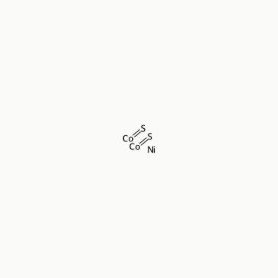 [Ni].[S]=[Co].[S]=[Co]